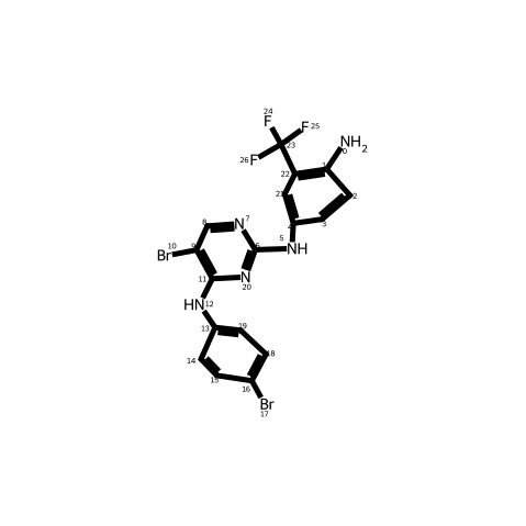 Nc1ccc(Nc2ncc(Br)c(Nc3ccc(Br)cc3)n2)cc1C(F)(F)F